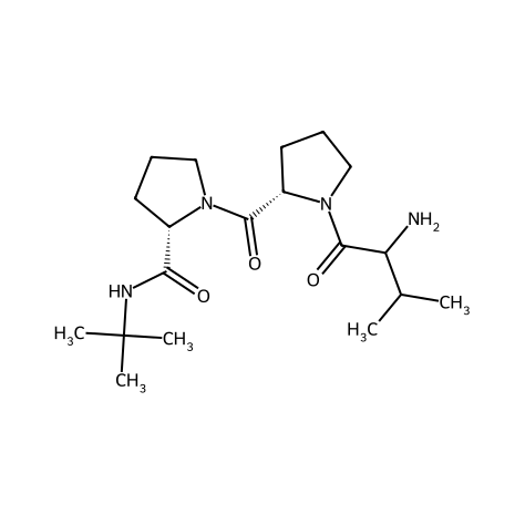 CC(C)C(N)C(=O)N1CCC[C@H]1C(=O)N1CCC[C@H]1C(=O)NC(C)(C)C